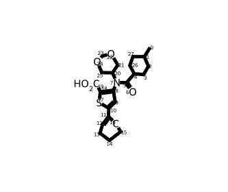 CC1CCC(C(=O)N(c2cc(C3=CCCCC3)sc2C(=O)O)C2COCOC2)CC1